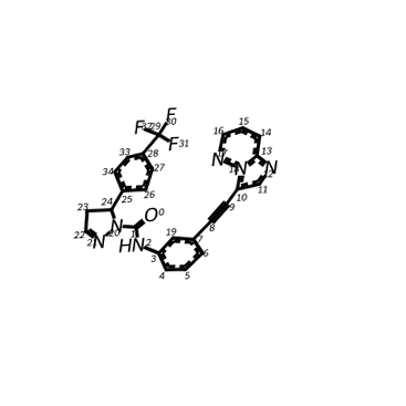 O=C(Nc1cccc(C#Cc2cnc3cccnn23)c1)N1N=CCC1c1ccc(C(F)(F)F)cc1